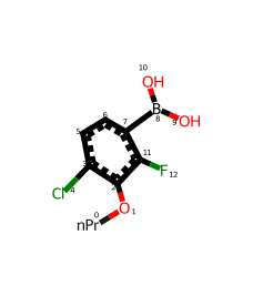 CCCOc1c(Cl)ccc(B(O)O)c1F